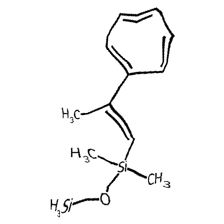 CC(=C[Si](C)(C)O[SiH3])c1ccccc1